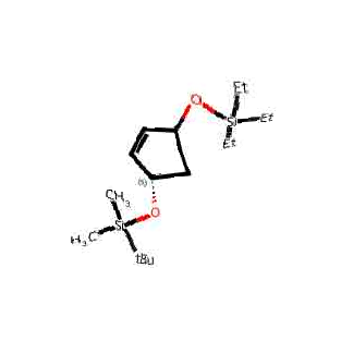 CC[Si](CC)(CC)O[C]1C=C[C@@H](O[Si](C)(C)C(C)(C)C)C1